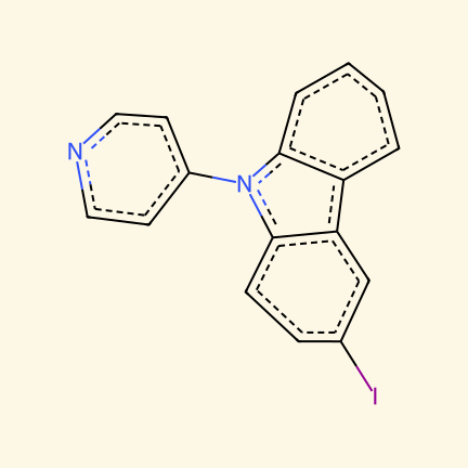 Ic1ccc2c(c1)c1ccccc1n2-c1ccncc1